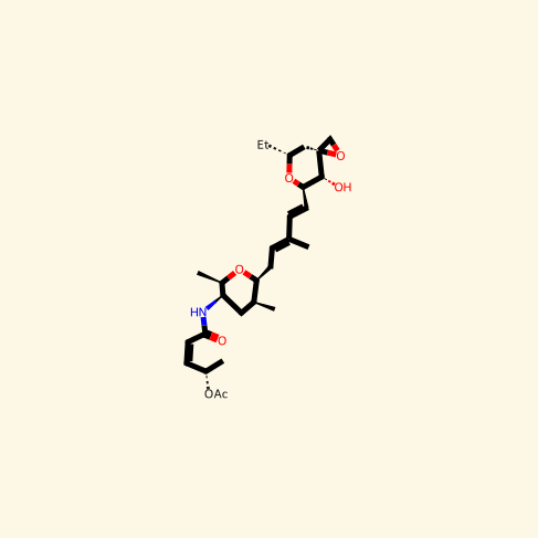 CC[C@@H]1C[C@@]2(CO2)[C@H](O)[C@@H](/C=C/C(C)=C/C[C@@H]2O[C@H](C)[C@H](NC(=O)/C=C\[C@H](C)OC(C)=O)C[C@@H]2C)O1